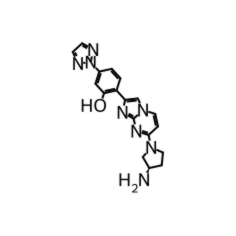 N[C@@H]1CCN(c2ccn3cc(-c4ccc(-n5nccn5)cc4O)nc3n2)C1